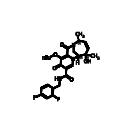 CCCCOc1c2n(cc(C(=O)NCc3ccc(F)cc3F)c1=O)[C@@H]1CN(C2=O)[C@@H](C)C=C[C@]1(C)O